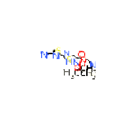 CC(C)(C)OC(=O)N[C@@H](Cc1nc(-c2nc(C#N)cs2)cs1)C(=O)OCC#N